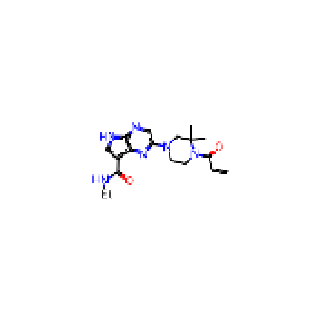 C=CC(=O)N1CCN(c2cnc3[nH]cc(C(=O)NCC)c3n2)CC1(C)C